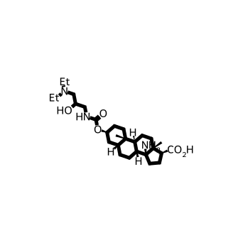 CCN(CC)CC(O)CNC(=O)O[C@H]1CC[C@@]2(C)[C@H](CC[C@@H]3[C@@H]2CC[C@]2(C)[C@@H](C(=O)O)CC[C@]32N)C1